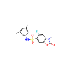 Cc1cc(C)cc(NS(=O)(=O)c2cc3oc(=O)n(C)c3cc2F)c1